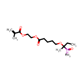 C=C(C)C(=O)OCCOC(=O)CCCCOC(C)(CC)[PH](C)=O